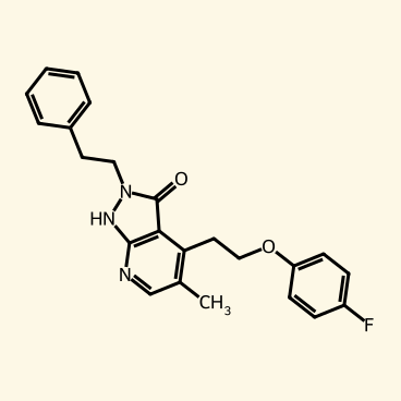 Cc1cnc2[nH]n(CCc3ccccc3)c(=O)c2c1CCOc1ccc(F)cc1